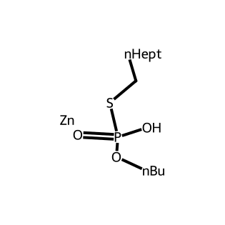 CCCCCCCCSP(=O)(O)OCCCC.[Zn]